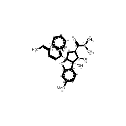 C=C(/C=C\C(=C/C)OC)[C@@]12Oc3cc(OC)ccc3[C@]1(O)[C@H](O)[C@H](C(=O)N(C)C)[C@H]2c1ccccc1